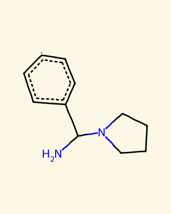 NC(c1cc[c]cc1)N1CCCC1